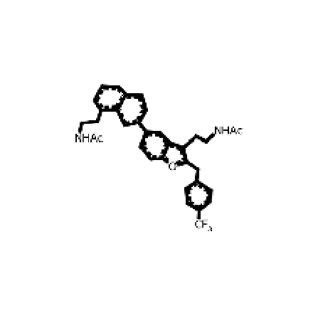 CC(=O)NCCc1cccc2ccc(-c3ccc4oc(Cc5ccc(C(F)(F)F)cc5)c(CCNC(C)=O)c4c3)cc12